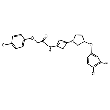 O=C(COc1ccc(Cl)cc1)NC12CC(N3CCC(Oc4ccc(Cl)c(F)c4)C3)(C1)C2